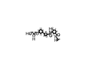 Cc1ccc(C(=O)NC2CC2)cc1NC(=O)c1ccc(-c2cccc(OCC(O)CO)c2)s1